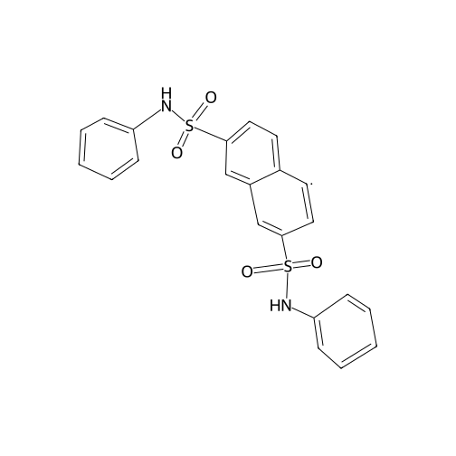 O=S(=O)(Nc1ccccc1)c1c[c]c2ccc(S(=O)(=O)Nc3ccccc3)cc2c1